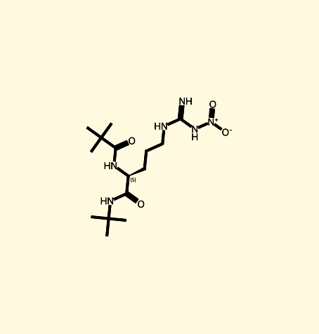 CC(C)(C)NC(=O)[C@H](CCCNC(=N)N[N+](=O)[O-])NC(=O)C(C)(C)C